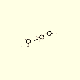 COC(=O)c1cc(F)cc(OCc2nc3ccc(Oc4ccc(OC)cc4)cc3n2C)c1